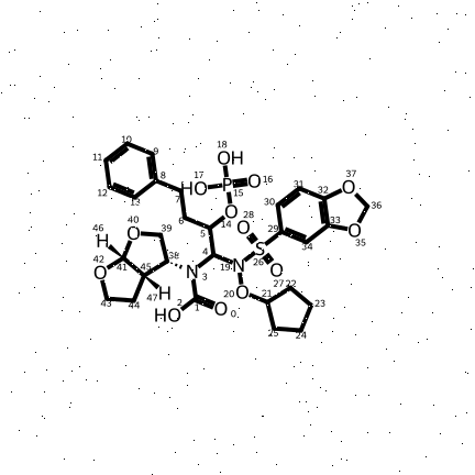 O=C(O)N(C(C(CCc1ccccc1)OP(=O)(O)O)N(OC1CCCC1)S(=O)(=O)c1ccc2c(c1)OCO2)[C@H]1CO[C@H]2OCC[C@H]21